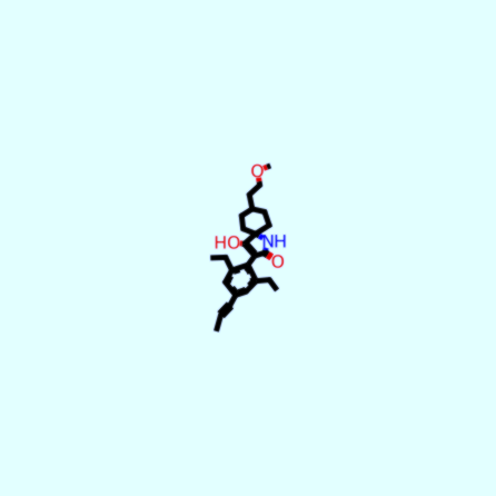 CC#Cc1cc(CC)c(C2=C(O)C3(CCC(CCOC)CC3)NC2=O)c(CC)c1